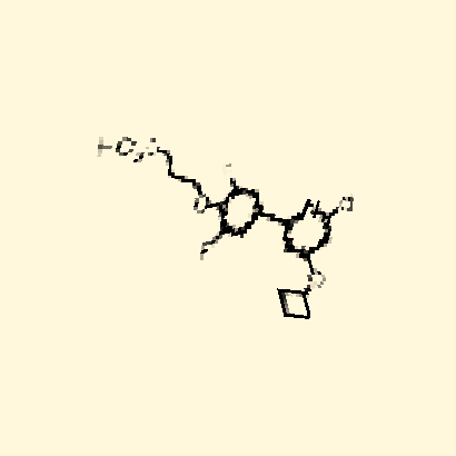 O=C(O)CCCOc1c(F)cc(-c2cc(OC3CCC3)cc(Cl)n2)cc1F